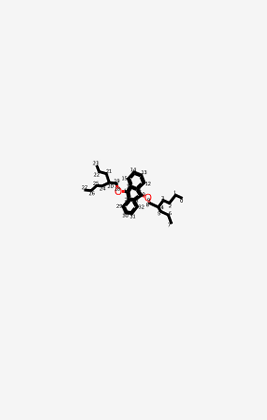 CCCCC(CCC)COc1c2ccccc2c(OCC(CCC)CCCC)c2ccccc12